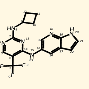 FC(F)(F)c1cnc(NC2CCC2)nc1Nc1cnc2[nH]ccc2c1